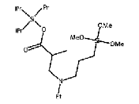 CCN(CCC[Si](OC)(OC)OC)CC(C)C(=O)O[Si](C(C)C)(C(C)C)C(C)C